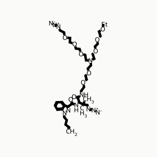 C=CCCCn1nc(C(=O)N[C@H](C(=O)NCCOCCOCCN(CCOCCOCCOCC)CCOCCOCCOCCN=[N+]=[N-])C(C)(C)CN=[N+]=[N-])c2ccccc21